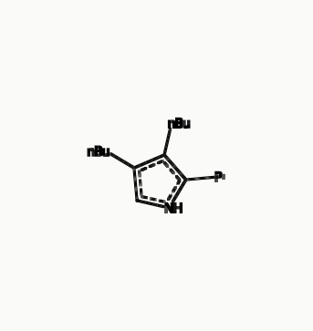 CCCCc1c[nH]c([P])c1CCCC